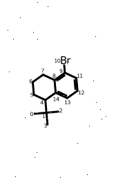 CC(C)(C)C1CCCc2c(Br)cccc21